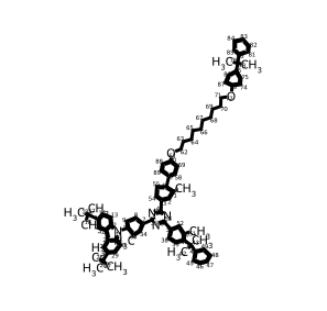 Cc1cc(-c2nc(-c3ccc(-n4c5ccc(C(C)(C)C)cc5c5cc(C(C)(C)C)ccc54)c(C)c3)nc(-c3ccc(C(C)(C)c4ccccc4)c(C)c3)n2)ccc1-c1ccc(OCCCCCCCCCCOc2ccc(C(C)(C)c3ccccc3)cc2)cc1